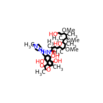 CO[C@@H]([C@H](C)[C@H](O)[C@H](C)[C@@H](OC)[C@@H](C)/C=C/C=C(/C)C(=O)Nc1c(/C=N/N2CCN(C)CC2)c(O)c2c3c(c(C)c(O)c2c1O)OC(C)C3=O)[C@H](C)[C@H](/C=C/O)OC